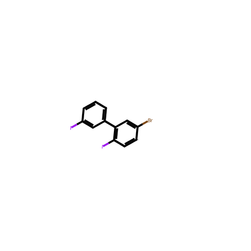 Brc1[c]cc(I)c(-c2cccc(I)c2)c1